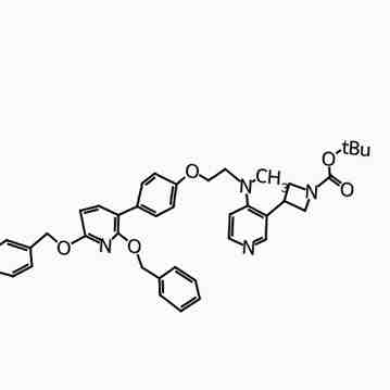 CN(CCOc1ccc(-c2ccc(OCc3ccccc3)nc2OCc2ccccc2)cc1)c1ccncc1C1CN(C(=O)OC(C)(C)C)C1